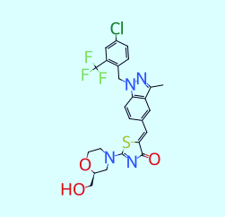 Cc1nn(Cc2ccc(Cl)cc2C(F)(F)F)c2ccc(/C=C3\SC(N4CCO[C@H](CO)C4)=NC3=O)cc12